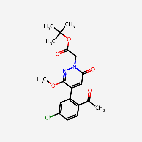 COc1nn(CC(=O)OC(C)(C)C)c(=O)cc1-c1cc(Cl)ccc1C(C)=O